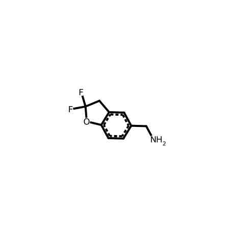 NCc1ccc2c(c1)CC(F)(F)O2